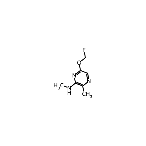 CNc1nc(OCF)cnc1C